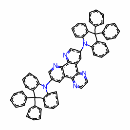 c1ccc(C2(c3ccccc3)c3ccccc3N(c3cnc4c(c3)c3nccnc3c3cc(N5c6ccccc6C(c6ccccc6)(c6ccccc6)c6ccccc65)cnc34)c3ccccc32)cc1